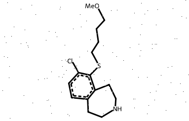 COCCCCSc1c(Cl)ccc2c1CCNCC2